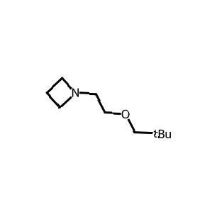 CC(C)(C)COCCN1CCC1